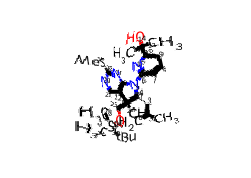 C=C(C)C[C@H]1N(c2cccc(C(C)(C)O)n2)c2nc(SC)ncc2[C@@]1(C)CO[Si](C)(C)C(C)(C)C